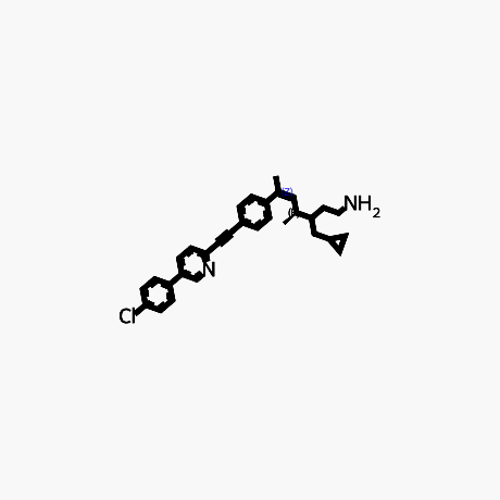 C/C(=C/[C@H](C)C(CCN)CC1CC1)c1ccc(C#Cc2ccc(-c3ccc(Cl)cc3)cn2)cc1